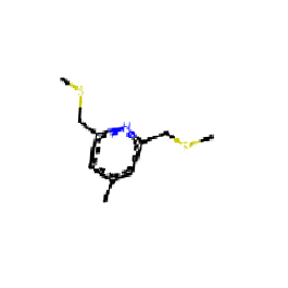 CSCc1cc(C)cc(CSC)n1